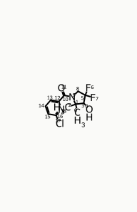 CC1(C)C(O)C(F)(F)CN1C(=O)c1cccc(Cl)n1